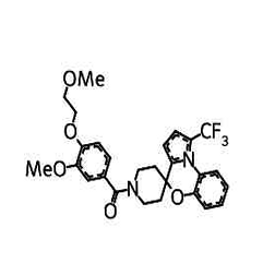 COCCOc1ccc(C(=O)N2CCC3(CC2)Oc2ccccc2-n2c(C(F)(F)F)ccc23)cc1OC